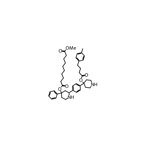 COC(=O)CCCCCCCCC(=O)OC1(c2ccccc2)CCNC(c2ccc(C3(OC(=O)CCCc4ccc(C)cc4)CCNCC3)cc2)C1